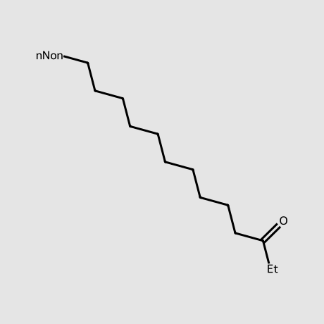 CCCCCCCCCCCCCCCCCCCC(=O)CC